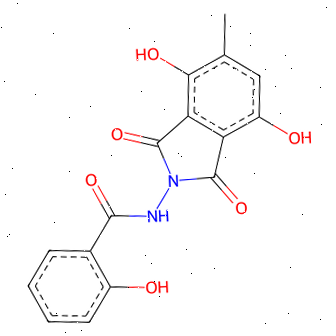 Cc1cc(O)c2c(c1O)C(=O)N(NC(=O)c1ccccc1O)C2=O